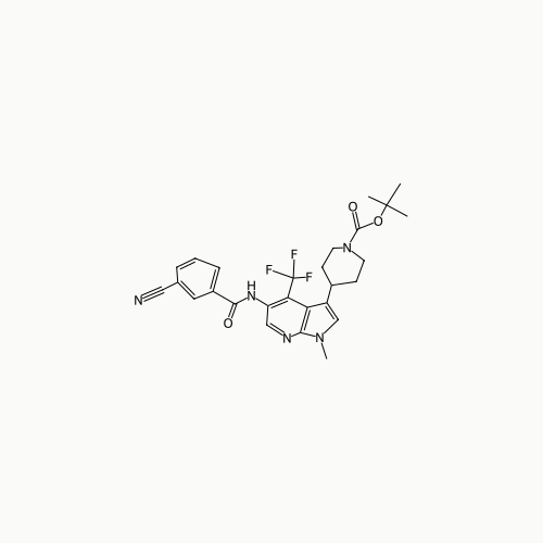 Cn1cc(C2CCN(C(=O)OC(C)(C)C)CC2)c2c(C(F)(F)F)c(NC(=O)c3cccc(C#N)c3)cnc21